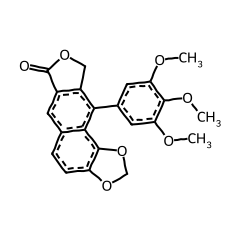 COc1cc(-c2c3c(cc4ccc5c(c24)OCO5)C(=O)OC3)cc(OC)c1OC